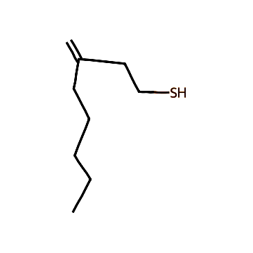 C=C(CCS)CCCCC